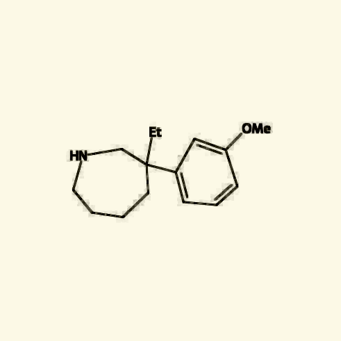 CCC1(c2cccc(OC)c2)CCCCNC1